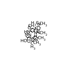 C=CC(=O)Nc1cc(Nc2ncc(C(=O)O)c(N3CC(C)(C)c4nc(C)ccc43)n2)c(OC)cc1N1CCC[C@@H](N(C)C)C1